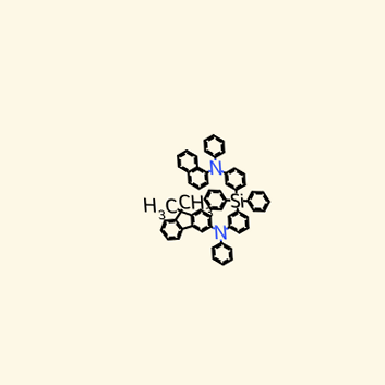 CC1(C)c2ccccc2-c2cc(N(c3ccccc3)c3cccc([Si](c4ccccc4)(c4ccccc4)c4cccc(N(c5ccccc5)c5cccc6ccccc56)c4)c3)ccc21